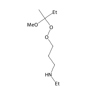 CCNCCCOOC(C)(CC)OC